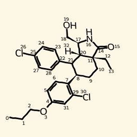 CCCOc1ccc([C@@H]2CC[C@@]3(CC)C(=O)N[C@H](CO)[C@H]3C2c2ccc(Cl)cc2)c(Cl)c1